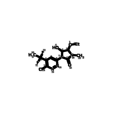 CCOC1C(O)N(c2cc(C(C)(F)F)c(Cl)nn2)C(=O)N1C